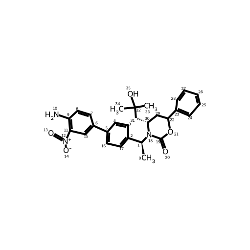 C[C@@H](c1ccc(-c2ccc(N)c([N+](=O)[O-])c2)cc1)N1C(=O)OC(c2ccccc2)C[C@H]1CC(C)(C)O